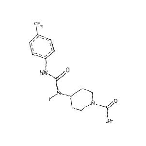 CC(C)C(=O)N1CCC(N(I)C(=O)Nc2ccc(C(F)(F)F)cc2)CC1